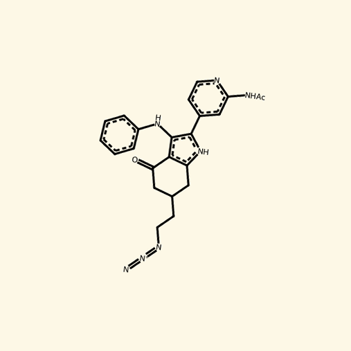 CC(=O)Nc1cc(-c2[nH]c3c(c2Nc2ccccc2)C(=O)CC(CCN=[N+]=[N-])C3)ccn1